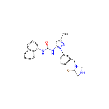 CC(C)(C)c1cc(NC(=O)Nc2cccc3ccccc23)n(-c2cccc(CN3CNCC3=S)c2)n1